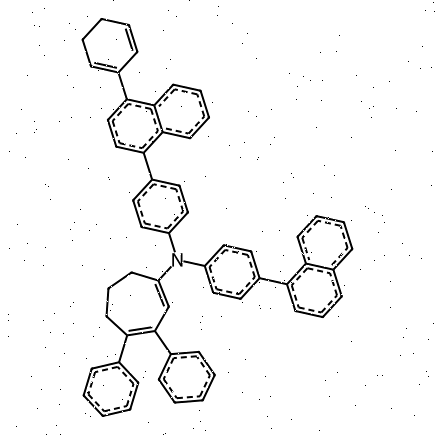 C1=CC(c2ccc(-c3ccc(N(C4=CC(c5ccccc5)=C(c5ccccc5)CCC4)c4ccc(-c5cccc6ccccc56)cc4)cc3)c3ccccc23)=CCC1